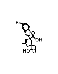 CCC1(C(=O)O)CC(C)=CC(C(=O)O)(c2nc3ccc(Br)cc3s2)C1